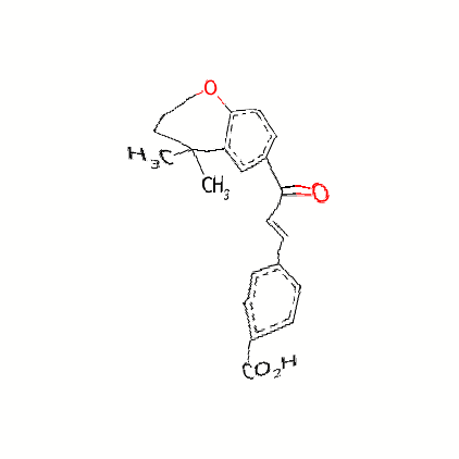 CC1(C)CCOc2ccc(C(=O)C=Cc3ccc(C(=O)O)cc3)cc21